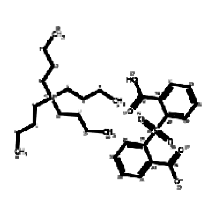 CCCC[N+](CCCC)(CCCC)CCCC.O=C([O-])c1ccccc1S(=O)(=O)c1ccccc1C(=O)O